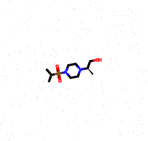 CC(C)S(=O)(=O)N1CCN([C@@H](C)CO)CC1